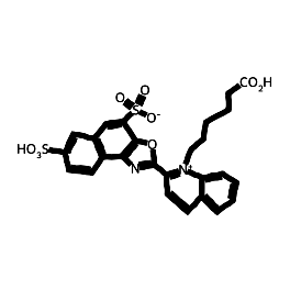 O=C(O)CCCCC[n+]1c(-c2nc3c(o2)c(S(=O)(=O)[O-])cc2cc(S(=O)(=O)O)ccc23)ccc2ccccc21